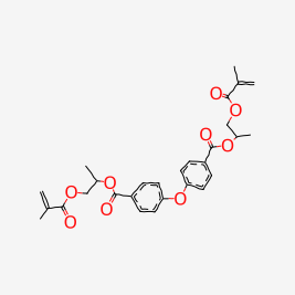 C=C(C)C(=O)OCC(C)OC(=O)c1ccc(Oc2ccc(C(=O)OC(C)COC(=O)C(=C)C)cc2)cc1